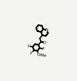 COc1c(F)c(F)cc(C(=O)Cc2ccnc3ccccc23)c1F